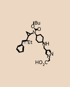 CC/C(=C\c1ccccc1)C1CC1N(C(=O)OC(C)(C)C)C1CCC(NCc2cnn(CC(=O)O)c2)CC1